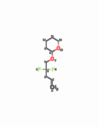 C=CCC(F)(F)COC1CCCCO1